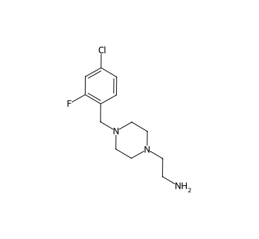 NCCN1CCN(Cc2ccc(Cl)cc2F)CC1